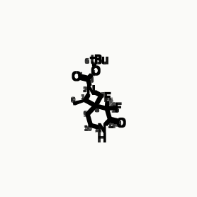 C[C@H]1N(C(=O)OC(C)(C)C)CC12CCNC(=O)C2(F)F